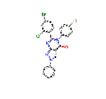 O=c1c2cn(-c3ccccc3)nc2nc(-c2ccc(Br)cc2Cl)n1-c1ccc(Cl)cc1